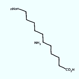 CCCCCCCCCCCCCCCCCCCC(=O)O.N